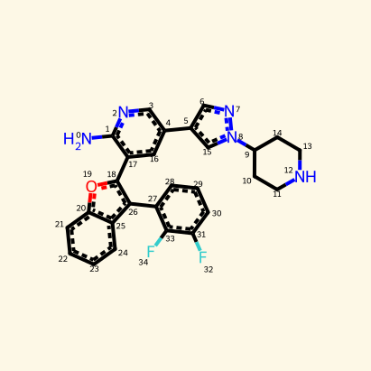 Nc1ncc(-c2cnn(C3CCNCC3)c2)cc1-c1oc2ccccc2c1-c1cccc(F)c1F